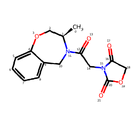 C[C@@H]1COc2ccccc2CN1C(=O)CN1C(=O)COC1=O